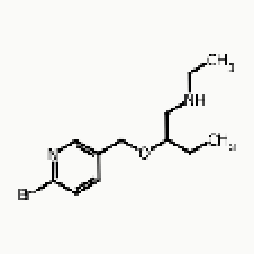 CCNCC(CC)OCc1ccc(Br)nc1